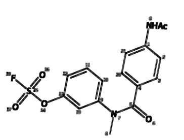 CC(=O)Nc1ccc(C(=O)N(C)c2cccc(OS(=O)(=O)F)c2)cc1